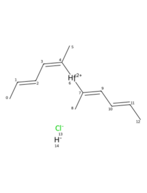 CC=CC=[C](C)[Hf+2][C](C)=CC=CC.[Cl-].[H-]